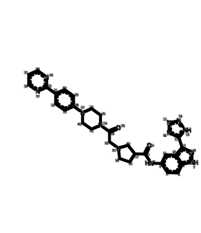 O=C(Nc1ccc2[nH]nc(-c3nnn[nH]3)c2c1)C1CCN(CC(=O)N2CCN(c3ccc(-c4ncccn4)cc3)CC2)C1